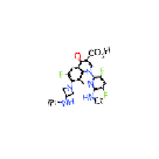 CCNc1nc(-n2cc(C(=O)O)c(=O)c3cc(F)c(N4CC(NC(C)C)C4)c(C)c32)c(F)cc1F